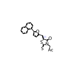 CC(=O)CN1C(=O)/C(=C/c2ccc(-c3cccc4ccccc34)o2)SC1=S